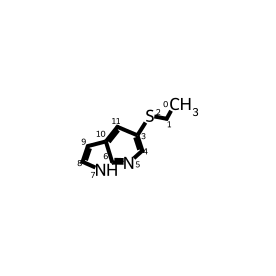 CCSc1cnc2[nH]ccc2c1